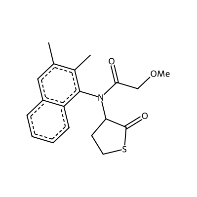 COCC(=O)N(c1c(C)c(C)cc2ccccc12)C1CCSC1=O